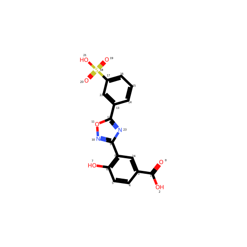 O=C(O)c1ccc(O)c(-c2noc(-c3cccc(S(=O)(=O)O)c3)n2)c1